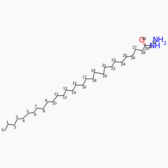 CCCCCCCCCCCCCCCCCCCCCCCCCCCCCC(=O)NN